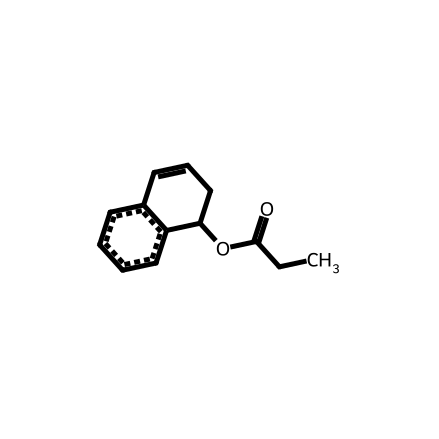 CCC(=O)OC1CC=Cc2ccccc21